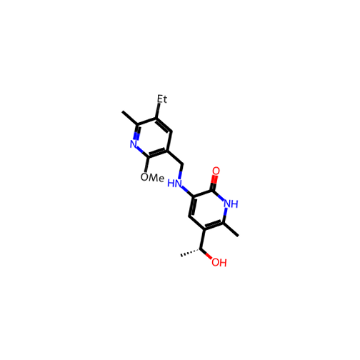 CCc1cc(CNc2cc([C@@H](C)O)c(C)[nH]c2=O)c(OC)nc1C